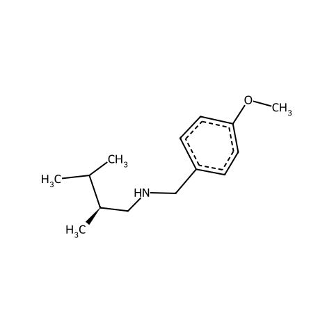 COc1ccc(CNC[C@@H](C)C(C)C)cc1